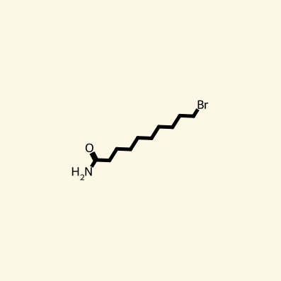 NC(=O)CCCCCCCCCBr